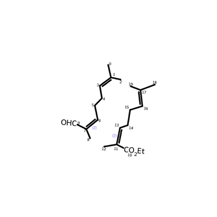 CC(C)=CCC/C=C(/C)C=O.CCOC(=O)/C(C)=C\CCC=C(C)C